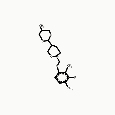 Cc1ccc(OC[C@@H]2CCC(C3OCC(C)CO3)CO2)c(C(F)(F)F)c1F